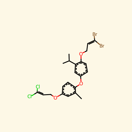 Cc1cc(OCC=C(Cl)Cl)ccc1Oc1ccc(OCC=C(Br)Br)c(C(C)C)c1